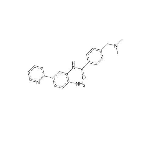 CN(C)Cc1ccc(C(=O)Nc2cc(-c3ccccn3)ccc2N)cc1